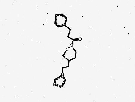 O=C(CCc1ccccc1)N1CCC(CCn2ccnc2)CC1